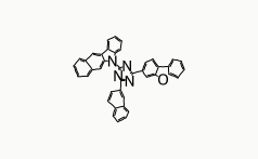 c1ccc2cc(-c3nc(-c4ccc5c(c4)oc4ccccc45)nc(-n4c5ccccc5c5cc6ccccc6cc54)n3)ccc2c1